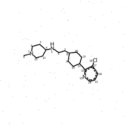 CN1CCC(NCCC2CCC(c3ncccc3Cl)CC2)CC1